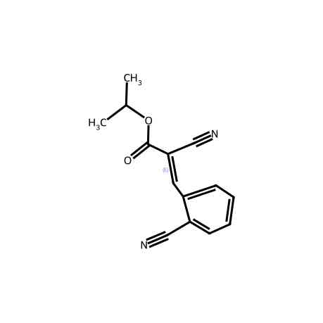 CC(C)OC(=O)/C(C#N)=C/c1ccccc1C#N